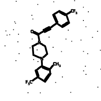 Cc1ccc(C(F)(F)F)cc1N1CCN(C(=O)C#Cc2ccc(C(F)(F)F)cc2)CC1